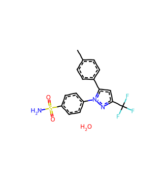 Cc1ccc(-c2cc(C(F)(F)F)nn2-c2ccc(S(N)(=O)=O)cc2)cc1.O